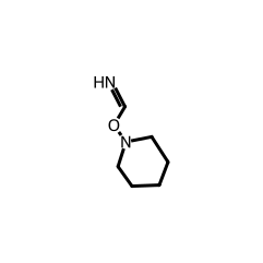 N=CON1CCCCC1